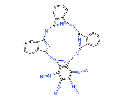 [N-]=[N+]=c1c(=[N+]=[N-])c(=[N+]=[N-])c2c3nc4nc(nc5[nH]c(nc6nc(nc([nH]3)c2c1=[N+]=[N-])-c1ccccc1-6)c1ccccc51)-c1ccccc1-4